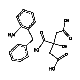 Nc1ccccc1Cc1ccccc1.O=C(O)CC(O)(CC(=O)O)C(=O)O